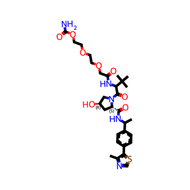 Cc1ncsc1-c1ccc(C(C)NC(=O)[C@@H]2C[C@@H](O)CN2C(=O)C(NC(=O)COCCOCCOC(N)=O)C(C)(C)C)cc1